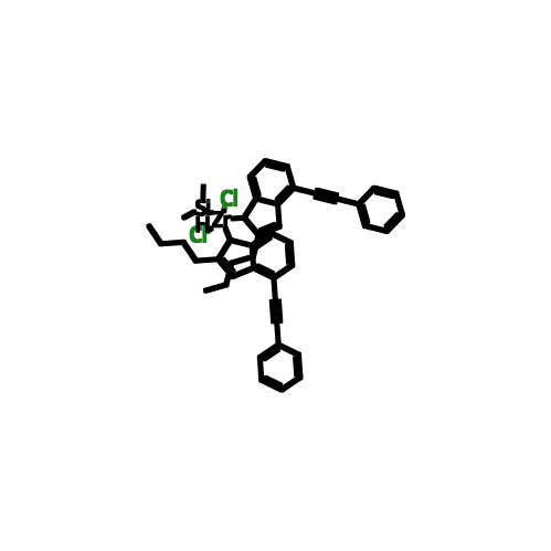 CCCCC1=Cc2c(C#Cc3ccccc3)cccc2[CH]1[Zr]([Cl])([Cl])([CH]1C(CCCC)=Cc2c(C#Cc3ccccc3)cccc21)[SiH](C)C